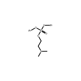 CC(C)OP(=O)(OCCN(C)C)OC(C)C